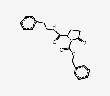 O=C(NCCc1ccccc1)C1CCC(=O)N1C(=O)OCc1ccccc1